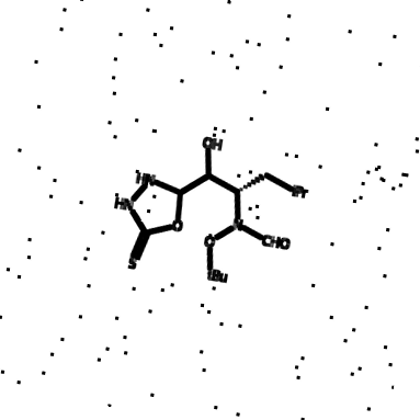 CC(C)C[C@@H](C(O)C1NNC(=S)O1)N(C=O)OC(C)(C)C